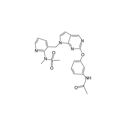 CC(=O)Nc1cccc(Oc2ncc3ccn(Cc4cccnc4N(C)S(C)(=O)=O)c3n2)c1